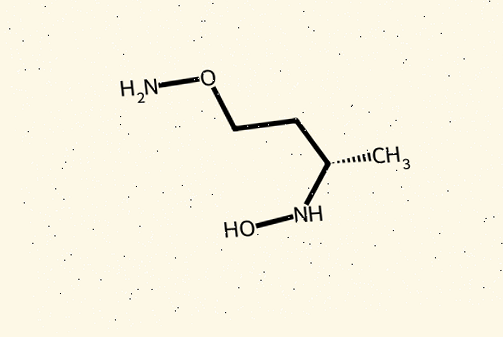 C[C@@H](CCON)NO